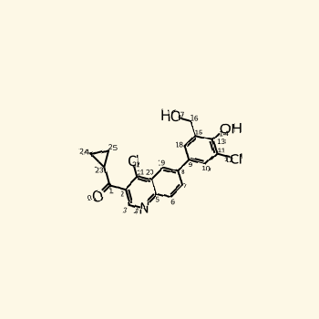 O=C(c1cnc2ccc(-c3cc(Cl)c(O)c(CO)c3)cc2c1Cl)C1CC1